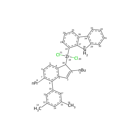 CCCCC1=Cc2c(ccc(CCC)c2-c2cc(C)cc(C)c2)[CH]1[Zr]([Cl])([Cl])[c]1cccc2c1[SiH2]c1ccccc1-2